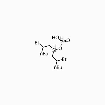 CCCCC(CC)C[SiH](CC(CC)CCCC)O[PH](=O)O